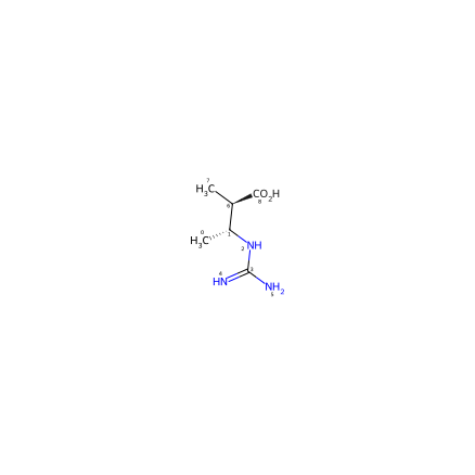 C[C@@H](NC(=N)N)[C@@H](C)C(=O)O